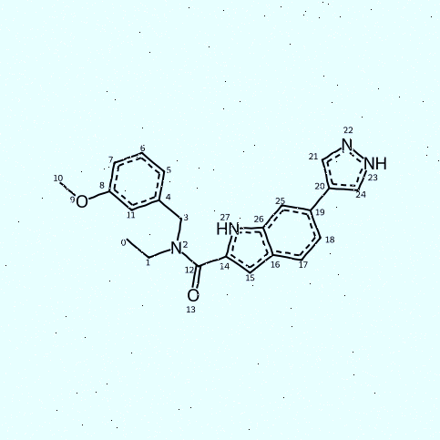 CCN(Cc1cccc(OC)c1)C(=O)c1cc2ccc(-c3cn[nH]c3)cc2[nH]1